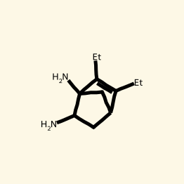 CCC1=C(CC)C2(N)CC1CC2N